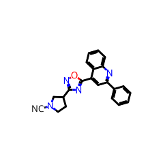 N#CN1CCC(c2noc(-c3cc(-c4ccccc4)nc4ccccc34)n2)C1